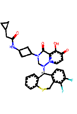 O=C(CC1CC1)NC1CC(N2CN([C@@H]3c4ccccc4SCc4c3ccc(F)c4F)n3ccc(=O)c(O)c3C2=O)C1